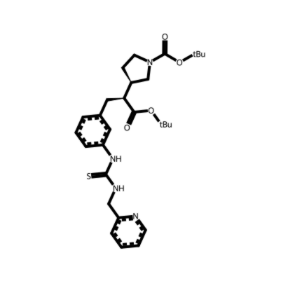 CC(C)(C)OC(=O)[C@@H](Cc1cccc(NC(=S)NCc2ccccn2)c1)[C@H]1CCN(C(=O)OC(C)(C)C)C1